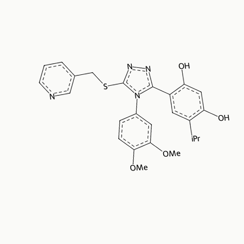 COc1ccc(-n2c(SCc3cccnc3)nnc2-c2cc(C(C)C)c(O)cc2O)cc1OC